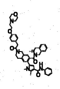 Cc1c(C(=O)Nc2ccccc2)cc(-c2cc3c(cc2C(=O)N2Cc4ccccc4C[C@H]2C)CN(C(=O)Cc2ccc(OCCN4CCOCC4)cc2)CC3)n1C